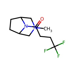 CN1CC2CCC(C1)N2C(=O)CCC(F)(F)F